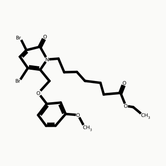 CCOC(=O)CCCCCCn1c(COc2cccc(OC)c2)c(Br)cc(Br)c1=O